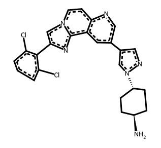 N[C@H]1CC[C@H](n2cc(-c3cnc4ccn5cc(-c6c(Cl)cccc6Cl)nc5c4c3)cn2)CC1